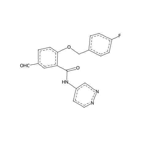 O=Cc1ccc(OCc2ccc(F)cc2)c(C(=O)Nc2ccnnc2)c1